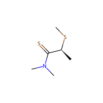 CS[C@@H](C)C(=S)N(C)C